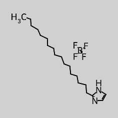 CCCCCCCCCCCCCCCCCc1ncc[nH]1.F[B-](F)(F)F